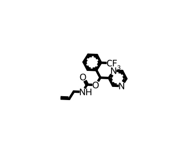 C=CCNC(=O)OC(c1cnccn1)c1ccccc1C(F)(F)F